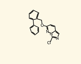 Clc1ncc2ccc(OCc3ccccc3-c3ccccc3)nn12